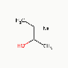 CCC(C)O.[Na]